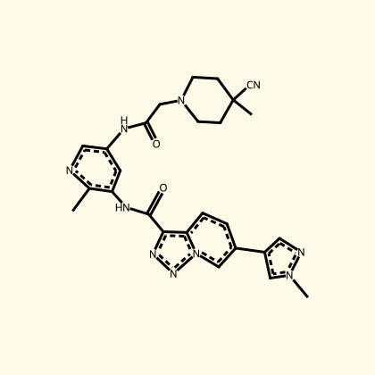 Cc1ncc(NC(=O)CN2CCC(C)(C#N)CC2)cc1NC(=O)c1nnn2cc(-c3cnn(C)c3)ccc12